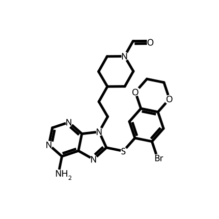 Nc1ncnc2c1nc(Sc1cc3c(cc1Br)OCCO3)n2CCC1CCN(C=O)CC1